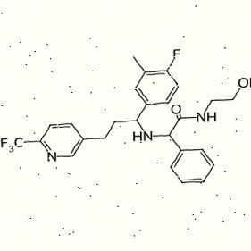 Cc1cc(C(CCc2ccc(C(F)(F)F)nc2)NC(C(=O)NCCO)c2ccccc2)ccc1F